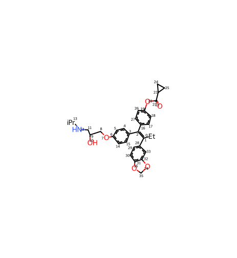 CC/C(=C(/c1ccc(OCC(O)CNC(C)C)cc1)c1ccc(OC(=O)C2CC2)cc1)c1ccc2c(c1)OCO2